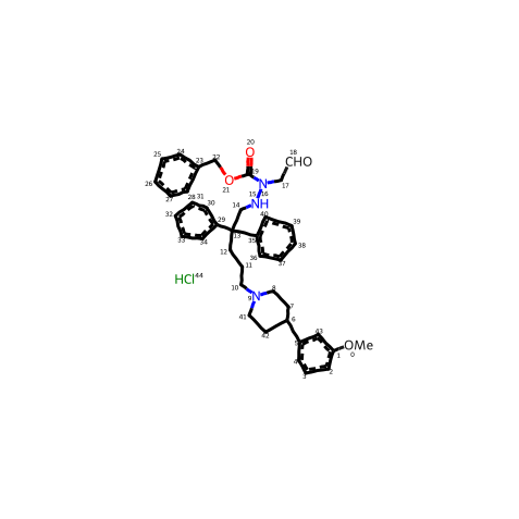 COc1cccc(C2CCN(CCCC(CNN(CC=O)C(=O)OCc3ccccc3)(c3ccccc3)c3ccccc3)CC2)c1.Cl